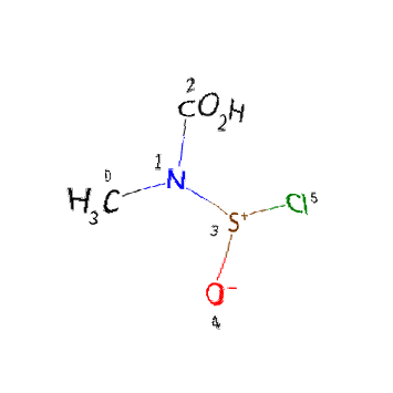 CN(C(=O)O)[S+]([O-])Cl